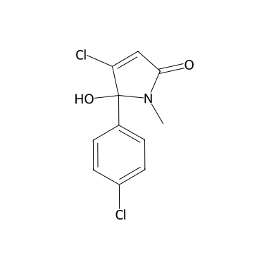 CN1C(=O)C=C(Cl)C1(O)c1ccc(Cl)cc1